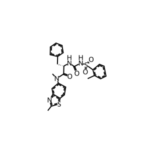 Cc1nc2cc(N(C)C(=O)[C@H](Cc3ccccc3)NC(=O)NS(=O)(=O)c3ccccc3C)ccc2s1